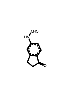 O=CNc1ccc2c(c1)CCC2=O